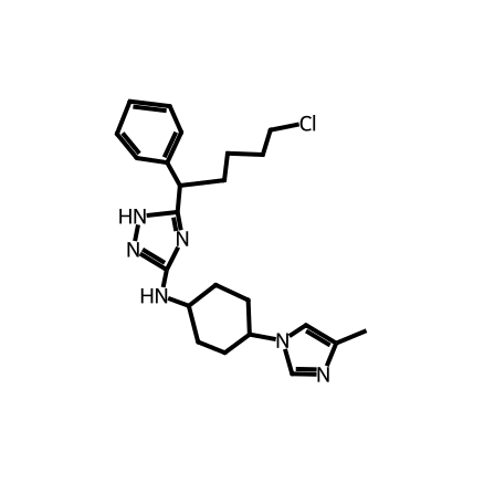 Cc1cn(C2CCC(Nc3n[nH]c(C(CCCCCl)c4ccccc4)n3)CC2)cn1